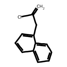 C=C(Cl)Cc1cccc2ccccc12